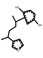 CC(CCC(C)c1cc(O)ccc1O)c1ccoc1